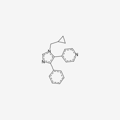 c1ccc(-c2ncn(CC3CC3)c2-c2ccncc2)cc1